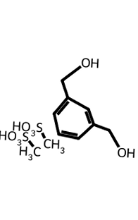 CS(=O)(=O)O.CS(=O)(=O)O.OCc1cccc(CO)c1